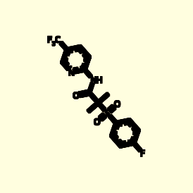 CC(C)(C(=O)Nc1ccc(C(F)(F)F)cn1)S(=O)(=O)c1ccc(F)cc1